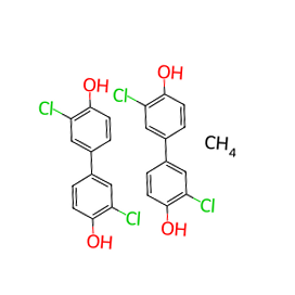 C.Oc1ccc(-c2ccc(O)c(Cl)c2)cc1Cl.Oc1ccc(-c2ccc(O)c(Cl)c2)cc1Cl